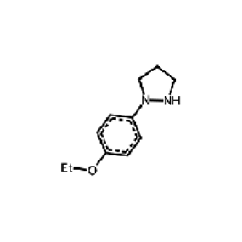 CCOc1ccc(N2CCCN2)cc1